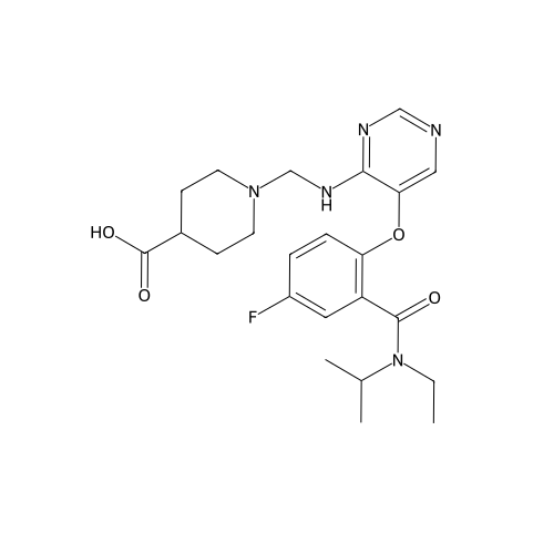 CCN(C(=O)c1cc(F)ccc1Oc1cncnc1NCN1CCC(C(=O)O)CC1)C(C)C